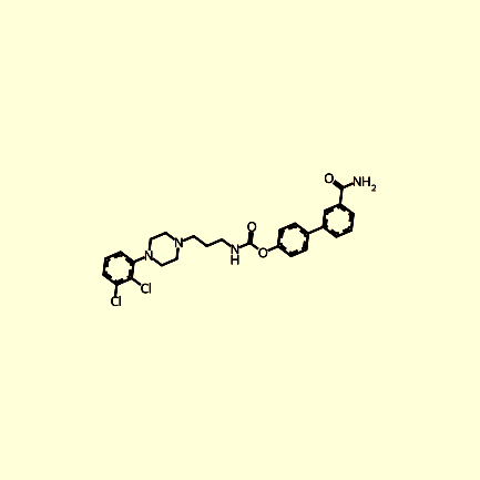 NC(=O)c1cccc(-c2ccc(OC(=O)NCCCN3CCN(c4cccc(Cl)c4Cl)CC3)cc2)c1